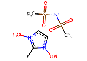 Cc1n(O)cc[n+]1O.O=S(=O)([N-]S(=O)(=O)C(F)(F)F)C(F)(F)F